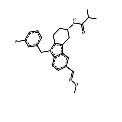 CO/N=C/c1ccc2c(c1)c1c(n2Cc2cccc(F)c2)CC[C@@H](NC(=O)C(C)C)C1